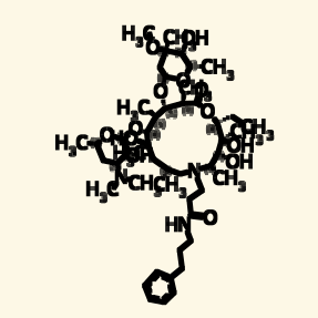 CC[C@H]1OC(=O)[C@H](C)[C@@H](O[C@H]2C[C@@](C)(OC)[C@@H](O)[C@H](C)O2)[C@H](C)[C@@H](O[C@@H]2O[C@H](C)C[C@H](N(C)C)[C@H]2O)[C@](C)(O)C[C@@H](C)CN(CCC(=O)NCCCc2ccccc2)[C@H](C)[C@@H](O)[C@]1(C)O